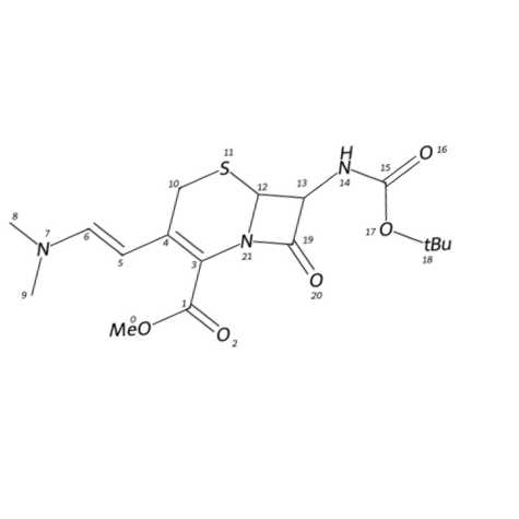 COC(=O)C1=C(C=CN(C)C)CSC2C(NC(=O)OC(C)(C)C)C(=O)N12